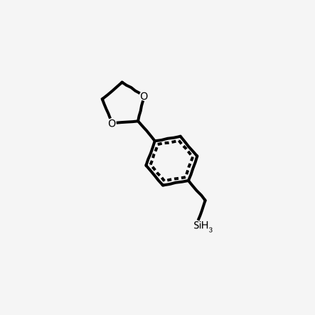 [SiH3]Cc1ccc(C2OCCO2)cc1